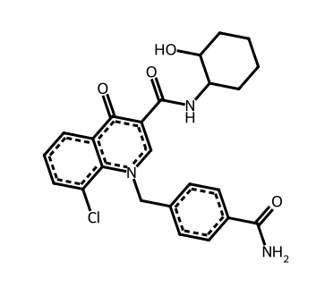 NC(=O)c1ccc(Cn2cc(C(=O)NC3CCCCC3O)c(=O)c3cccc(Cl)c32)cc1